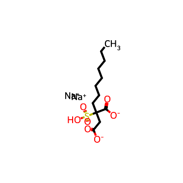 CCCCCCCCC(CC(=O)[O-])(C(=O)[O-])S(=O)(=O)O.[Na+].[Na+]